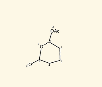 CC(=O)OC1CCCC([O])O1